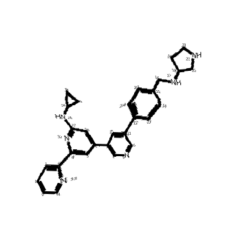 c1ccc(-c2cc(-c3cncc(-c4ccc(CNC5CCNC5)cc4)c3)cc(NC3CC3)n2)nc1